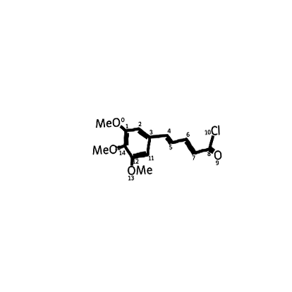 COc1cc(C=CC=CC(=O)Cl)cc(OC)c1OC